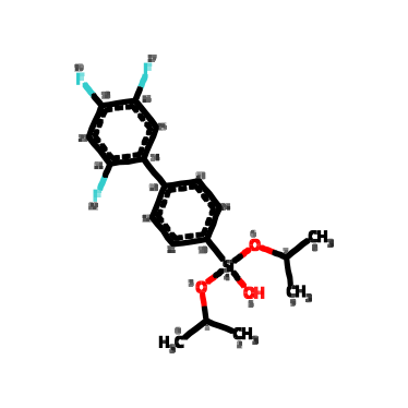 CC(C)O[Si](O)(OC(C)C)c1ccc(-c2cc(F)c(F)cc2F)cc1